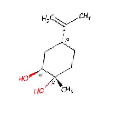 C=C(C)[C@@H]1CC[C@](C)(O)[C@@H](O)C1